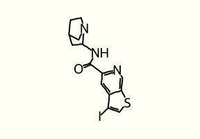 O=C(NC1CC2CCN1C2)c1cc2c(I)csc2cn1